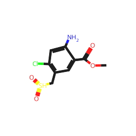 COC(=O)c1cc(C[SH](=O)=O)c(Cl)cc1N